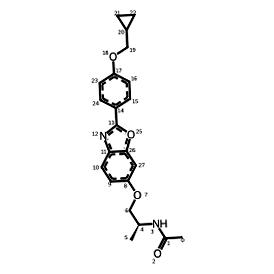 CC(=O)N[C@@H](C)COc1ccc2nc(-c3ccc(OCC4CC4)cc3)oc2c1